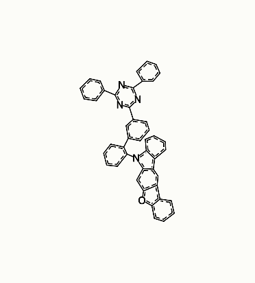 c1ccc(-c2nc(-c3ccccc3)nc(-c3cccc(-c4ccccc4-n4c5ccccc5c5cc6c(cc54)oc4ccccc46)c3)n2)cc1